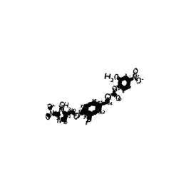 Cc1cc([N+](=O)[O-])ccc1OC(=O)OCc1ccc(OCc2cnc([N+](=O)[O-])n2C)c(F)c1